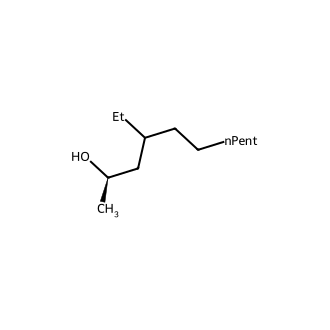 CCCCCCCC(CC)C[C@@H](C)O